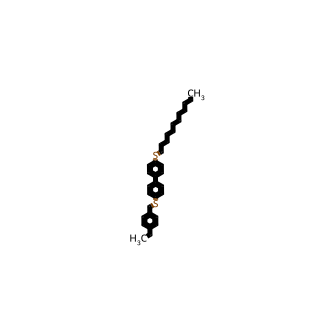 CCCCCCCCCCCCSc1ccc(-c2ccc(SCc3ccc(CC)cc3)cc2)cc1